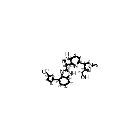 Cn1cc(-c2ccc3[nH]nc(-c4nc5c(-c6ccc(Cl)s6)cccc5[nH]4)c3n2)c(CO)n1